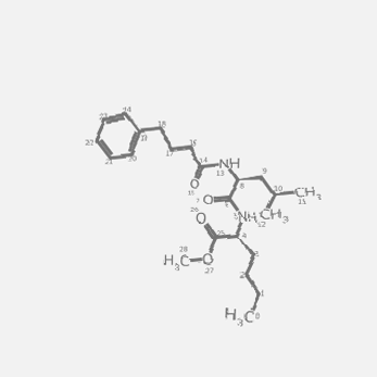 CCCC[C@H](NC(=O)[C@H](CC(C)C)NC(=O)CCCc1ccccc1)C(=O)OC